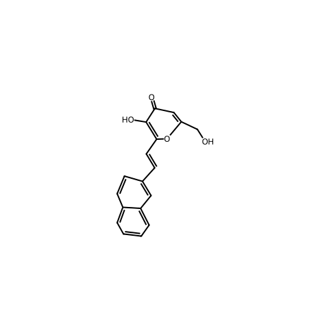 O=c1cc(CO)oc(/C=C/c2ccc3ccccc3c2)c1O